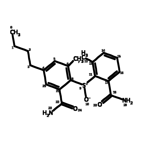 CCCCc1cc(C)c([S+]([O-])c2c(C)cccc2C(N)=O)c(C(N)=O)c1